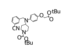 CC(C)(C)OC(=O)COc1ccc(N(Cc2cccc(C#N)c2)C2CCN(C(=O)OC(C)(C)C)CC2)cc1